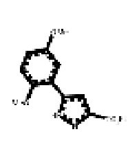 CCOC(=O)c1cc(-c2cc(OC)ccc2OC)[nH]n1